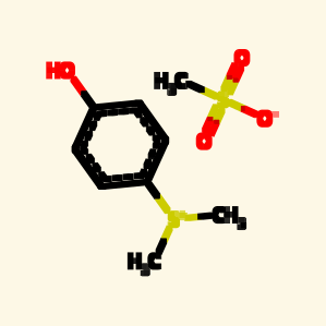 CS(=O)(=O)[O-].C[S+](C)c1ccc(O)cc1